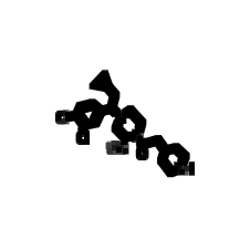 CC(C)(C)[C@H]1CN(C(CC2CC2)c2ccc(Cl)c(Cl)c2)CCN1C(=O)CC1CCNCC1